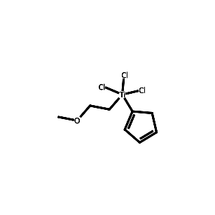 COC[CH2][Ti]([Cl])([Cl])([Cl])[C]1=CC=CC1